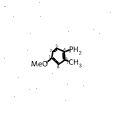 COc1ccc(P)c(C)c1